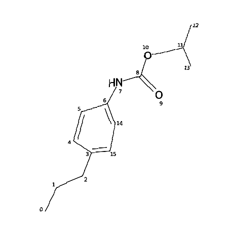 CCCc1ccc(NC(=O)OC(C)C)cc1